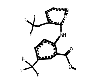 COC(=O)c1cc(C(F)(F)F)ccc1Nc1ccccc1CC(F)(F)F